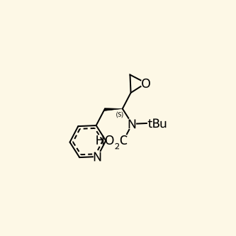 CC(C)(C)N(C(=O)O)[C@@H](Cc1cccnc1)C1CO1